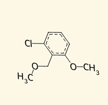 COCc1c(Cl)cccc1OC